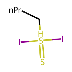 CCCC[SH](=S)(I)I